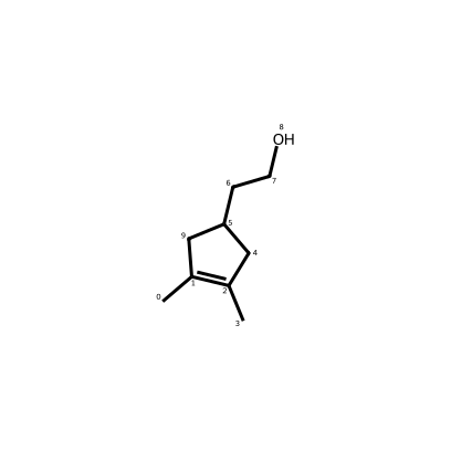 CC1=C(C)CC(CCO)C1